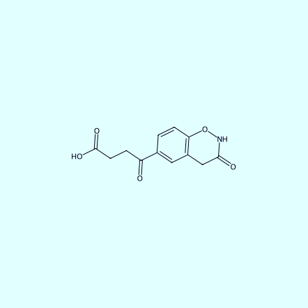 O=C(O)CCC(=O)c1ccc2c(c1)CC(=O)NO2